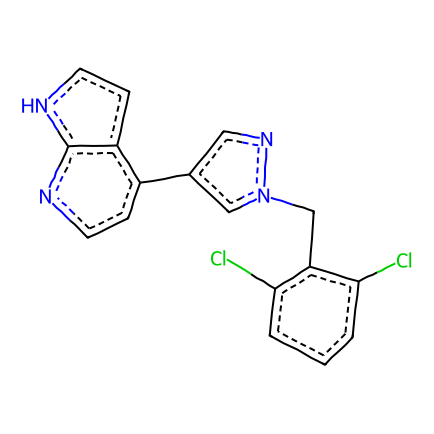 Clc1cccc(Cl)c1Cn1cc(-c2ccnc3[nH]ccc23)cn1